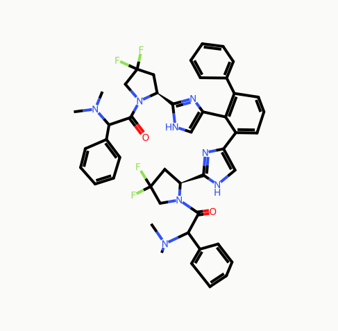 CN(C)C(C(=O)N1CC(F)(F)C[C@H]1c1nc(-c2cccc(-c3ccccc3)c2-c2c[nH]c([C@@H]3CC(F)(F)CN3C(=O)C(c3ccccc3)N(C)C)n2)c[nH]1)c1ccccc1